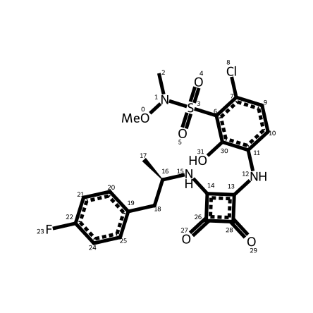 CON(C)S(=O)(=O)c1c(Cl)ccc(Nc2c(N[C@H](C)Cc3ccc(F)cc3)c(=O)c2=O)c1O